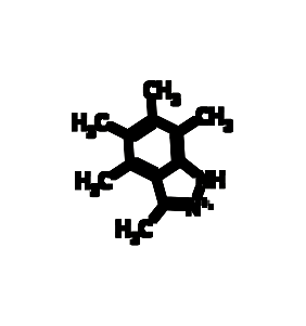 CC1=[N+]Nc2c(C)c(C)c(C)c(C)c21